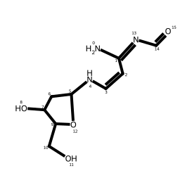 NC(/C=C\NC1CC(O)C(CO)O1)=N/C=O